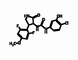 COc1cc(F)c(C2CNC(=O)C2NC(=O)Nc2ccc(Cl)c(O)c2)c(F)c1